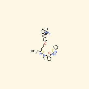 N[C@H]1[C@@H]2CCC[C@H]1[C@@H](c1ccc(OCCCc3sc(N4CCc5cccc(C(=O)Nc6nc7ccccc7s6)c5C4)nc3C(=O)O)cc1)CC2